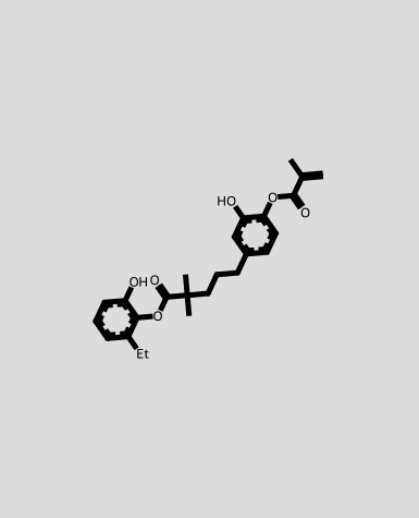 C=C(C)C(=O)Oc1ccc(CCCC(C)(C)C(=O)Oc2c(O)cccc2CC)cc1O